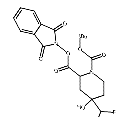 CC(C)(C)OC(=O)N1CCC(O)(C(F)F)CC1C(=O)ON1C(=O)c2ccccc2C1=O